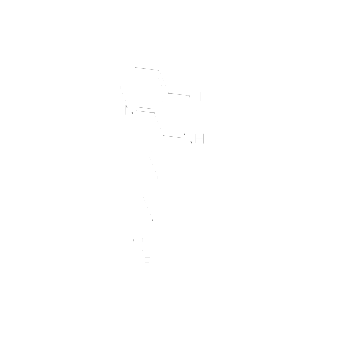 CCOCCCCC(N)c1ncccc1C